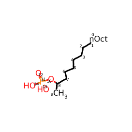 CCCCCCCCCCCCCCCC(C)OP(=O)(O)O